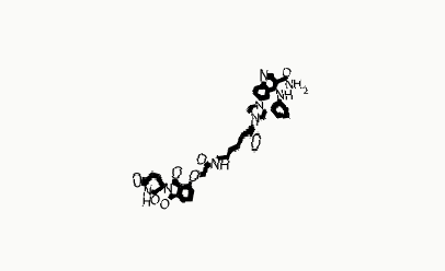 NC(=O)c1cnc2ccc(N3CCN(C(=O)CCCCCNC(=O)COc4cccc5c4C(=O)N(C4CCC(=O)NC4=O)C5=O)CC3)cc2c1Nc1ccccc1